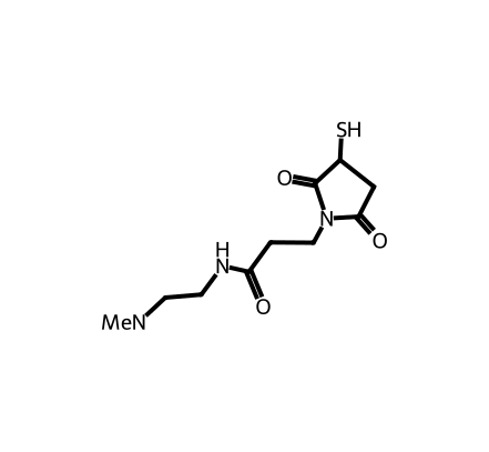 CNCCNC(=O)CCN1C(=O)CC(S)C1=O